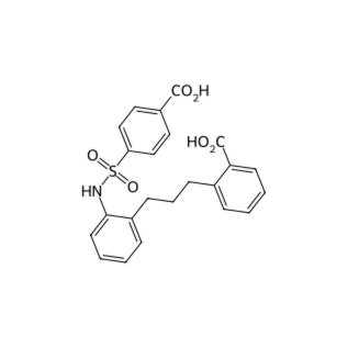 O=C(O)c1ccc(S(=O)(=O)Nc2ccccc2CCCc2ccccc2C(=O)O)cc1